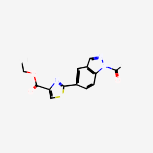 CCOC(=O)c1csc(-c2ccc3c(cnn3C(C)=O)c2)n1